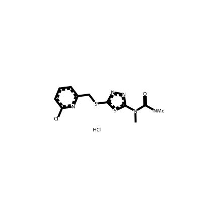 CNC(=O)N(C)c1nnc(SCc2cccc(Cl)n2)s1.Cl